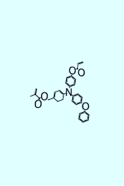 C=CC(=O)Oc1ccc(N(C2=CC=C(COC(=O)C(=C)C)CC2)c2ccc(Oc3ccccc3)cc2)cc1